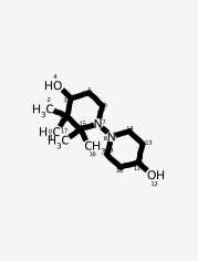 CC1(C)C(O)CCN(N2CCC(O)CC2)C1(C)C